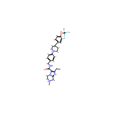 CCc1nc2n(c1C(=O)NCc1ccc(N3CCC(c4ccc(OC(F)(F)F)cc4)CC3)cc1)CCN(C)C2